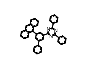 c1ccc(-c2cc(-c3nc(-c4ccccc4)nc(-c4ccccc4)n3)cc(-c3c4ccccc4cc4ccccc34)c2)cc1